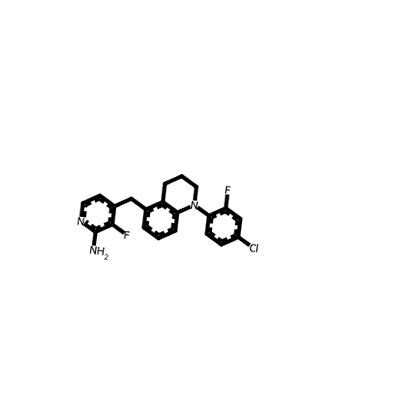 Nc1nccc(Cc2cccc3c2CCCN3c2ccc(Cl)cc2F)c1F